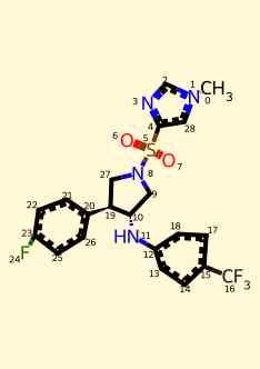 Cn1cnc(S(=O)(=O)N2C[C@H](Nc3ccc(C(F)(F)F)cc3)[C@@H](c3ccc(F)cc3)C2)c1